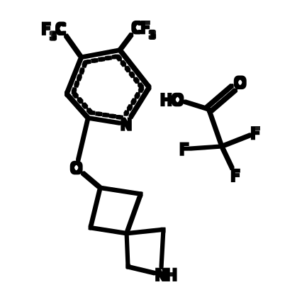 FC(F)(F)c1cnc(OC2CC3(CNC3)C2)cc1C(F)(F)F.O=C(O)C(F)(F)F